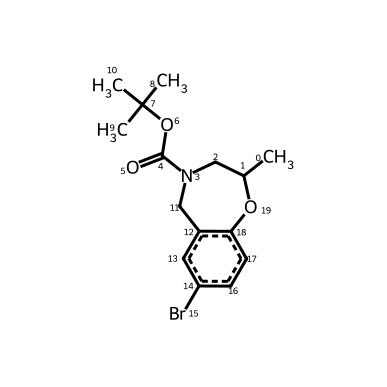 CC1CN(C(=O)OC(C)(C)C)Cc2cc(Br)ccc2O1